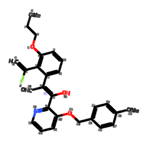 C=C(F)c1c(OCCOC)cccc1/C(C=O)=C(\O)c1ncccc1OCc1ccc(OC)cc1